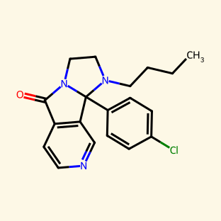 CCCCN1CCN2C(=O)c3ccncc3C12c1ccc(Cl)cc1